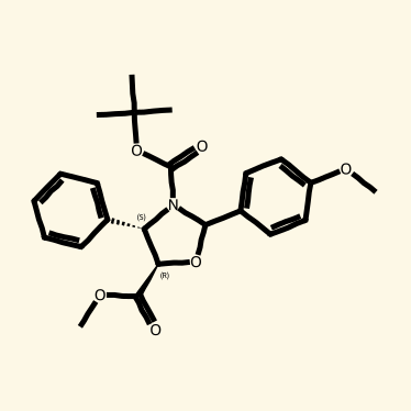 COC(=O)[C@@H]1OC(c2ccc(OC)cc2)N(C(=O)OC(C)(C)C)[C@H]1c1ccccc1